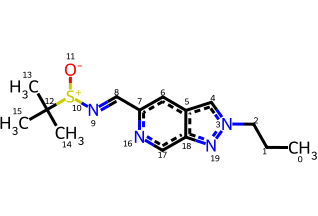 CCCn1cc2cc(/C=N/[S+]([O-])C(C)(C)C)ncc2n1